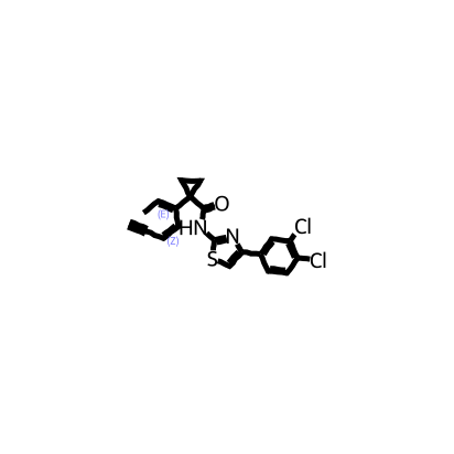 C#C/C=C\C(=C/C)C1(C(=O)Nc2nc(-c3ccc(Cl)c(Cl)c3)cs2)CC1